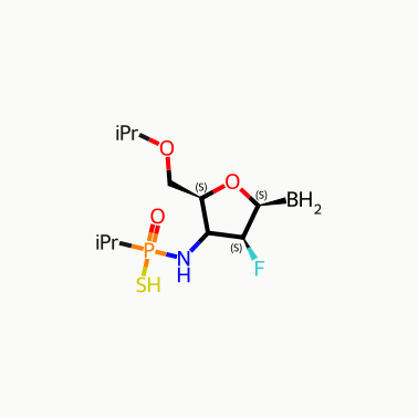 B[C@@H]1O[C@H](COC(C)C)C(NP(=O)(S)C(C)C)[C@@H]1F